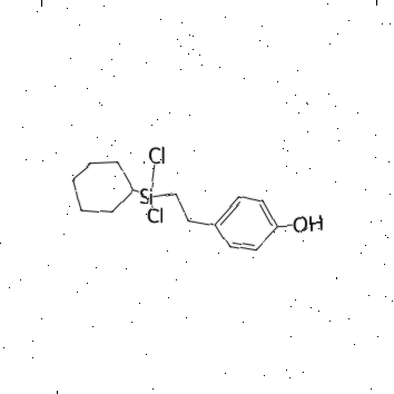 Oc1ccc(CC[Si](Cl)(Cl)C2CCCCC2)cc1